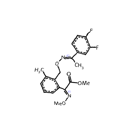 CO/N=C(/C(=O)OC)c1cccc(C)c1CO/N=C(\C)c1ccc(F)c(F)c1